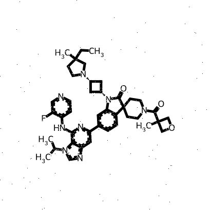 CCC1(C)CCN([C@H]2C[C@@H](N3C(=O)C4(CCN(C(=O)C5(C)COC5)CC4)c4ccc(-c5cc6ncn(C(C)C)c6c(Nc6ccncc6F)n5)cc43)C2)C1